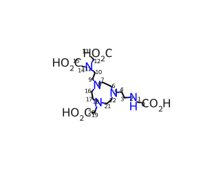 O=C(O)CNCCN1CCN(CCN(CC(=O)O)CC(=O)O)CCN(CC(=O)O)CC1